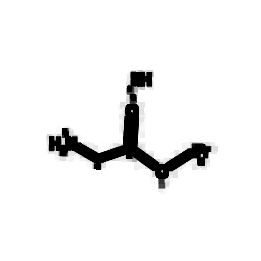 CC(C)OC(=O)CN.[KH]